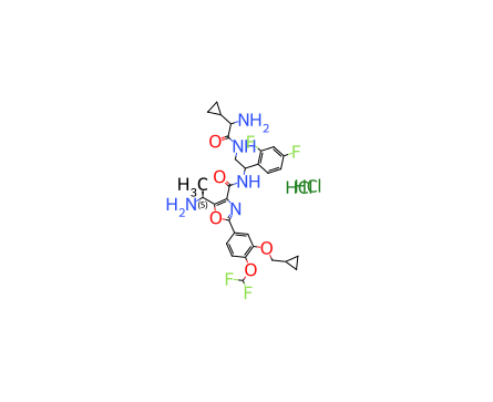 C[C@H](N)c1oc(-c2ccc(OC(F)F)c(OCC3CC3)c2)nc1C(=O)NC(CNC(=O)C(N)C1CC1)c1ccc(F)cc1F.Cl.Cl